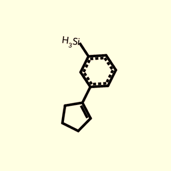 [SiH3]c1cccc(C2=CCCC2)c1